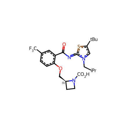 CC(C)Cn1cc(C(C)(C)C)sc1=NC(=O)c1cc(C(F)(F)F)ccc1OC[C@@H]1CCN1C(=O)O